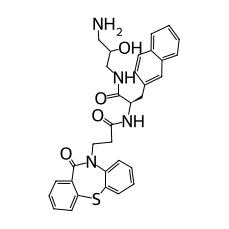 NCC(O)CNC(=O)[C@@H](Cc1ccc2ccccc2c1)NC(=O)CCN1C(=O)c2ccccc2Sc2ccccc21